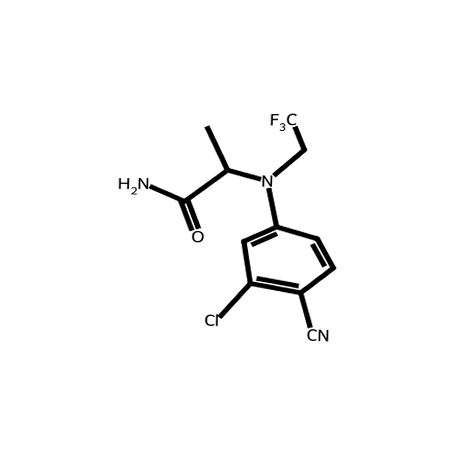 CC(C(N)=O)N(CC(F)(F)F)c1ccc(C#N)c(Cl)c1